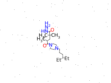 CCC(CC)CCCN1CCN(C(=O)C(C)CC(C)(C)C(=O)NN)CC1